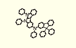 c1ccc(N(c2ccc3c(c2)C(c2ccccc2)(c2ccccc2)c2ccccc2-3)c2ccc3c(c2)c2c4ccccc4n(-c4ccccc4)c2n3-c2ccccc2)cc1